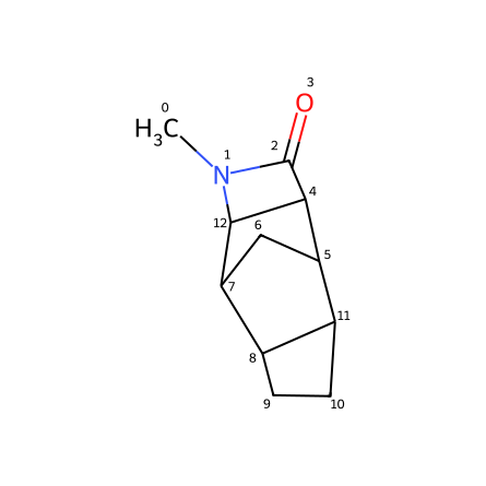 CN1C(=O)C2C3CC(C4CCC43)C21